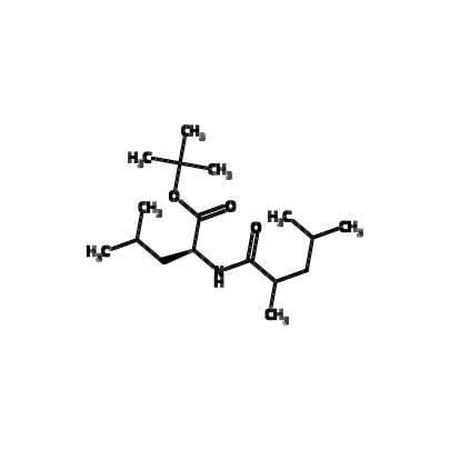 CC(C)CC(C)C(=O)N[C@@H](CC(C)C)C(=O)OC(C)(C)C